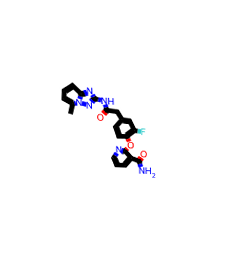 Cc1cccc2nc(NC(=O)Cc3ccc(Oc4ncccc4C(N)=O)c(F)c3)nn12